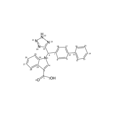 O=C(O)c1cn(C(c2ccc(-c3ccccc3)cc2)c2nn[nH]n2)c2ccccc12